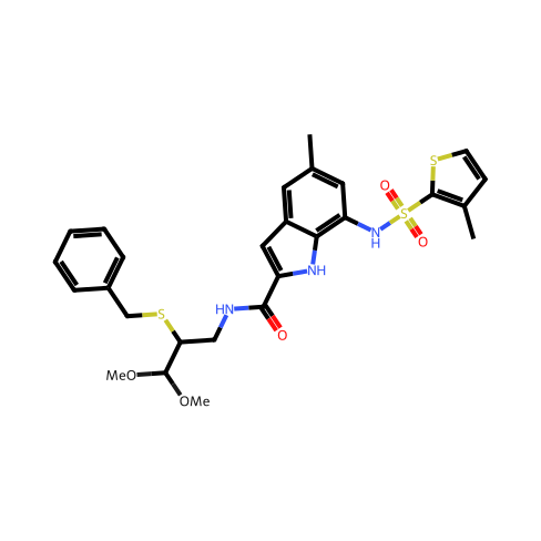 COC(OC)C(CNC(=O)c1cc2cc(C)cc(NS(=O)(=O)c3sccc3C)c2[nH]1)SCc1ccccc1